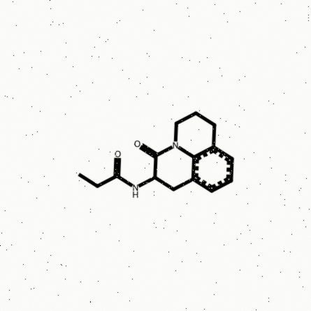 CCC(=O)NC1Cc2cccc3c2N(CCC3)C1=O